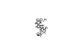 CC(C)c1cccc2c(-c3ccco3)cc(-c3ccc(-c4ccc(C(=O)O)cc4)[nH]3)nc12